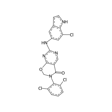 O=C1c2cnc(Nc3cc(Cl)c4[nH]ccc4c3)nc2OCN1c1c(Cl)cccc1Cl